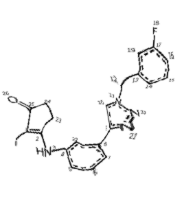 CC1=C(Nc2cccc(-c3cn(Cc4cccc(F)c4)nn3)c2)CCC1=O